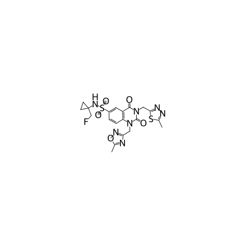 Cc1nc(Cn2c(=O)n(Cc3nnc(C)s3)c(=O)c3cc(S(=O)(=O)NC4(CF)CC4)ccc32)no1